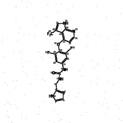 O=C(NCc1ncc[nH]1)Nc1cc(F)c(Oc2ccnc3[nH]cc(C(F)(F)F)c23)c(F)c1